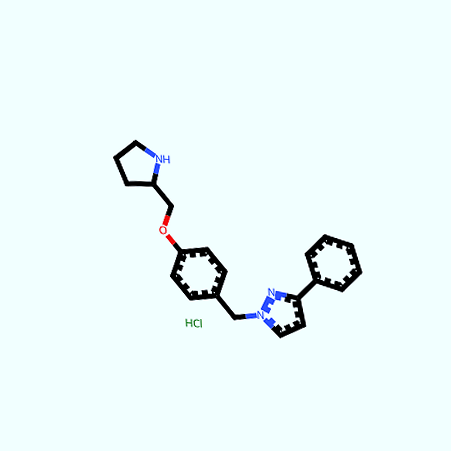 Cl.c1ccc(-c2ccn(Cc3ccc(OCC4CCCN4)cc3)n2)cc1